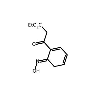 CCOC(=O)CC(=O)C1=CC=CCC1=NO